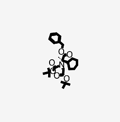 CC(C)(C)OC(=O)C=[N+](C(=O)OC(C)(C)C)[C@@](C)(C(=O)OCc1ccccc1)C1CCCCC1